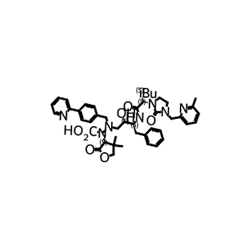 CC[C@H](C)[C@@H](C(=O)N[C@@H](Cc1ccccc1)[C@@H](O)CN(Cc1ccc(-c2ccccn2)cc1)N(C(=O)O)[C@@H]1C(=O)OCC1(C)C)N1CCN(Cc2cccc(C)n2)C1=O